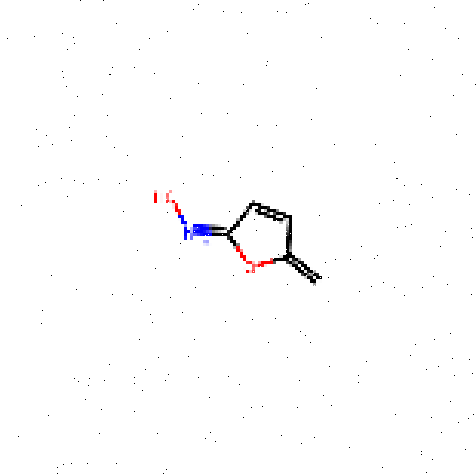 C=C1C=C/C(=N\O)O1